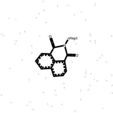 CCCCCCCN1C(=O)c2cccc3cccc(c23)C1=O